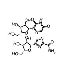 NC(=O)c1ncn([C@@H]2O[C@H](CO)[C@@H](O)[C@H]2O)n1.O=c1cnn([C@@H]2O[C@H](CO)[C@@H](O)[C@H]2O)c(=O)[nH]1